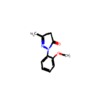 COc1ccccc1N1N=C(C)CC1=O